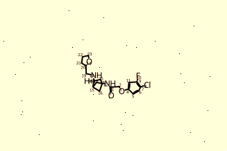 O=C(COc1ccc(Cl)c(F)c1)NC12CC(C1)[C@@H](NCC1CCCO1)C2